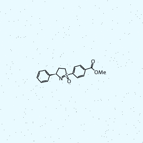 COC(=O)c1ccc(S2(=O)=N[C@@H](c3ccccc3)CC2)cc1